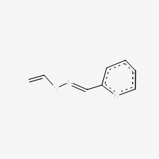 O=CNN=Cc1ccccn1